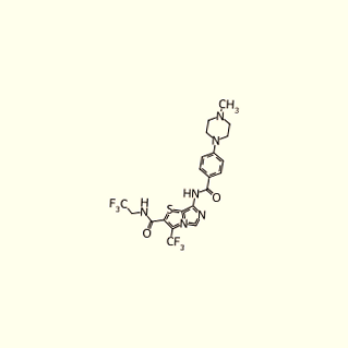 CN1CCN(c2ccc(C(=O)Nc3ncn4c(C(F)(F)F)c(C(=O)NCC(F)(F)F)sc34)cc2)CC1